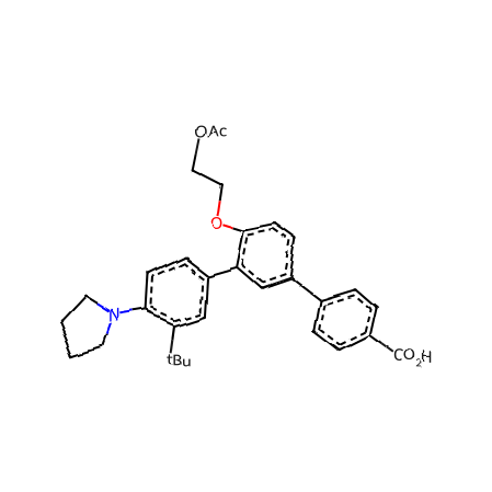 CC(=O)OCCOc1ccc(-c2ccc(C(=O)O)cc2)cc1-c1ccc(N2CCCC2)c(C(C)(C)C)c1